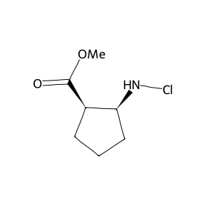 COC(=O)[C@@H]1CCC[C@@H]1NCl